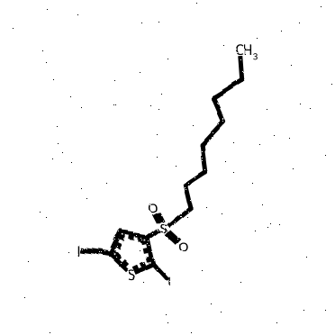 CCCCCCCCS(=O)(=O)c1cc(I)sc1I